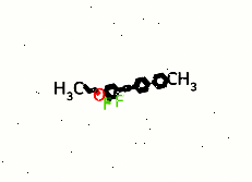 CCCCOc1ccc(C#Cc2ccc([C@H]3CC[C@H](C)CC3)cc2)c(F)c1F